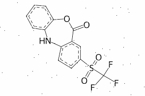 O=C1Oc2ccccc2Nc2ccc(S(=O)(=O)C(F)(F)F)cc21